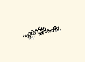 CC(OC(=O)SC[C@@H](C)C(=O)N1CCC[C@H]1C(=O)OCCCON(O)O)ON(O)O